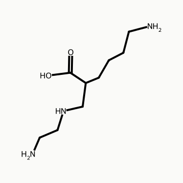 NCCCCC(CNCCN)C(=O)O